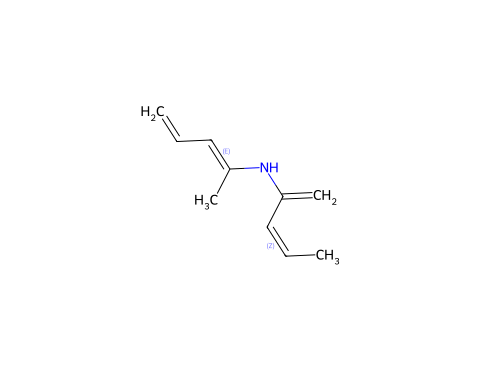 C=C/C=C(\C)NC(=C)/C=C\C